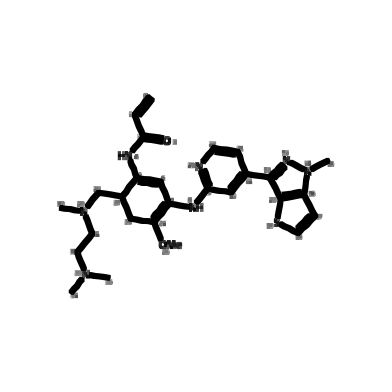 C=CC(=O)NC1=CC(Nc2cc(-c3nn(C)c4ccsc34)ccn2)=C(OC)CC1CN(C)CCN(C)C